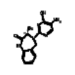 CCC(C)[C@H]1C(=O)Nc2ccccc2CN1c1ncc(N)c(O)n1